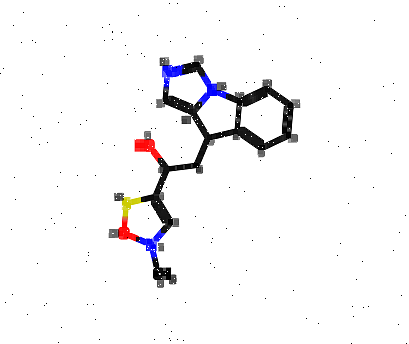 CN1C=C(C(O)CC2c3ccccc3-n3cncc32)SO1